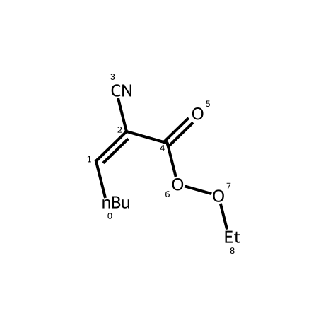 CCCCC=C(C#N)C(=O)OOCC